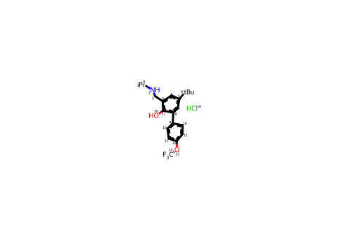 CC(C)NCc1cc(C(C)(C)C)cc(-c2ccc(OC(F)(F)F)cc2)c1O.Cl